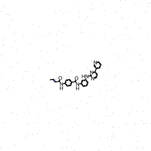 C/C=C/C(=O)Nc1ccc(C(=O)Nc2cccc(Nc3nccc(-c4cccnc4)n3)c2)cc1